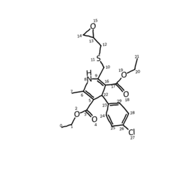 CCOC(=O)C1=C(C)NC(CSCC2CO2)=C(C(=O)OCC)C1c1ccc(Cl)cc1